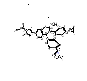 C[C@H]1Cc2cc(-c3cnn(C(F)F)c3)ccc2[C@H](c2ccc(/C=C/C(=O)O)cc2)N1c1ccc(C2CC2)cc1